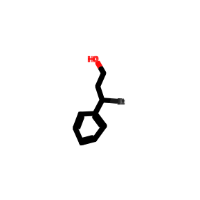 CCC(CCO)c1ccccc1